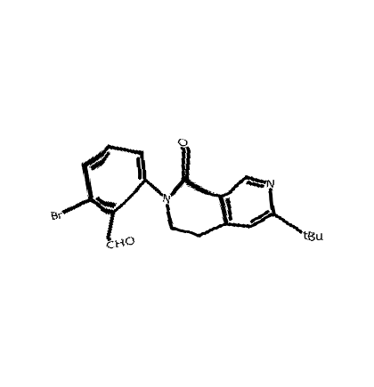 CC(C)(C)c1cc2c(cn1)C(=O)N(c1cccc(Br)c1C=O)CC2